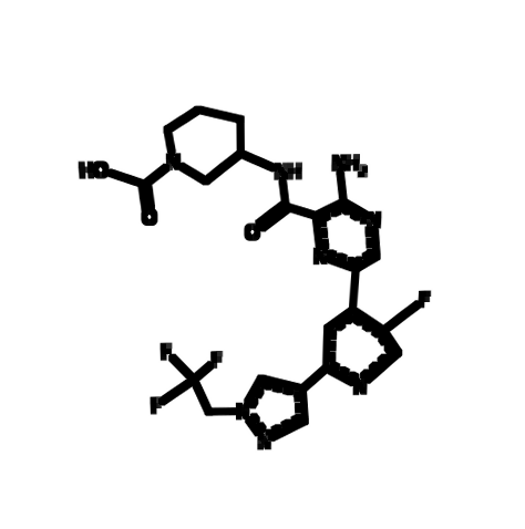 Nc1ncc(-c2cc(-c3cnn(CC(F)(F)F)c3)ncc2F)nc1C(=O)NC1CCCN(C(=O)O)C1